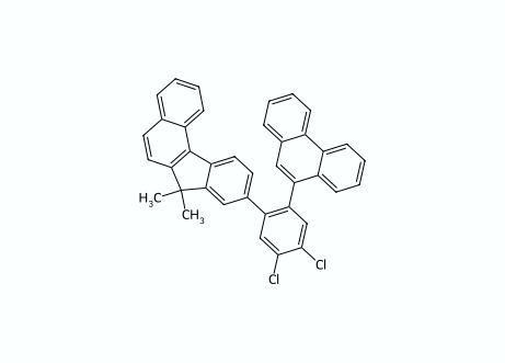 CC1(C)c2cc(-c3cc(Cl)c(Cl)cc3-c3cc4ccccc4c4ccccc34)ccc2-c2c1ccc1ccccc21